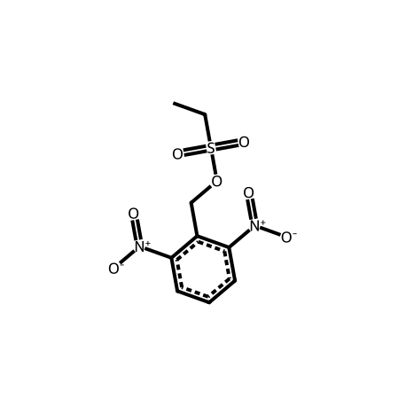 CCS(=O)(=O)OCc1c([N+](=O)[O-])cccc1[N+](=O)[O-]